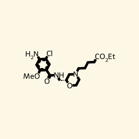 CCOC(=O)CCCCN1CCO[C@H](CNC(=O)c2cc(Cl)c(N)cc2OC)C1